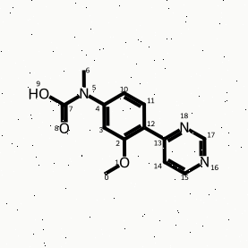 COc1cc(N(C)C(=O)O)ccc1-c1ccncn1